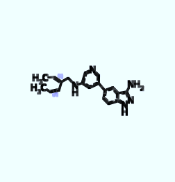 C/C=C\C(=C/C)CNc1cncc(-c2ccc3[nH]nc(N)c3c2)c1